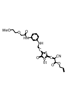 C=CCOC(=O)C(=C=c1sc(=C=CNc2cccc(NC(=O)COCCOC)c2)c(=O)n1CC)C#N